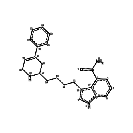 NC(=O)c1cccc2[nH]cc(CCCCC3CC(c4ccccc4)=CCN3)c12